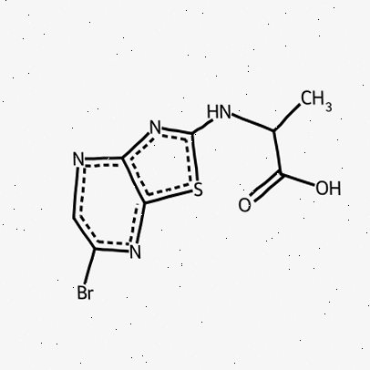 CC(Nc1nc2ncc(Br)nc2s1)C(=O)O